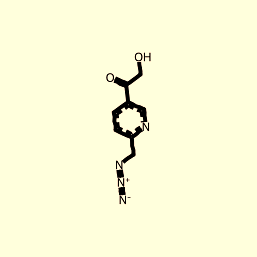 [N-]=[N+]=NCc1ccc(C(=O)CO)cn1